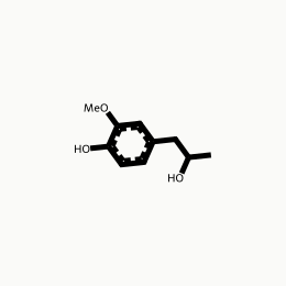 COc1cc(CC(C)O)ccc1O